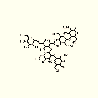 CC(=O)NC1C(C)OC(CO)C(OC2OC(CO)C(OC(O)C(O)C(O[C@H]3O[C@H](CO)C(O)C(O)C3OC3OC(CO)C(O)C(O)C3NC(C)=O)C(O)C(C)COC3OC(CO)C(O)C(O)C3O)C(O)C2NC(C)=O)C1O